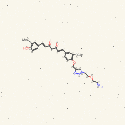 COc1cc(/C=C/C(=O)CC(=O)/C=C/c2ccc(OCc3cn(CCOCCN)nn3)c(OC)c2)ccc1O